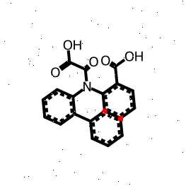 O=C(O)C(=O)N(c1ccccc1C(=O)O)c1ccccc1-c1ccccc1